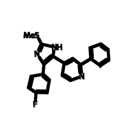 CSc1nc(-c2ccc(F)cc2)c(-c2ccnc(-c3[c]cccc3)c2)[nH]1